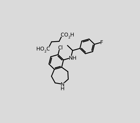 CC(Nc1c(Cl)ccc2c1CCNCC2)c1ccc(F)cc1.O=C(O)CCC(=O)O